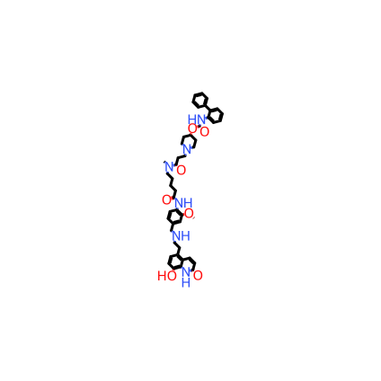 COc1cc(CNCCc2ccc(O)c3[nH]c(=O)ccc23)ccc1NC(=O)CCCCN(C)C(=O)CCN1CCC(OC(=O)Nc2ccccc2-c2ccccc2)CC1